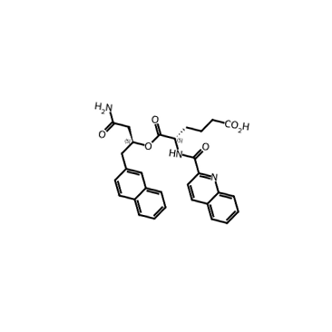 NC(=O)C[C@H](Cc1ccc2ccccc2c1)OC(=O)[C@H](CCCC(=O)O)NC(=O)c1ccc2ccccc2n1